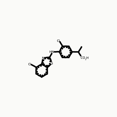 CC(C(=O)O)c1ccc(Nc2nc3c(Cl)cccc3s2)c(Cl)c1